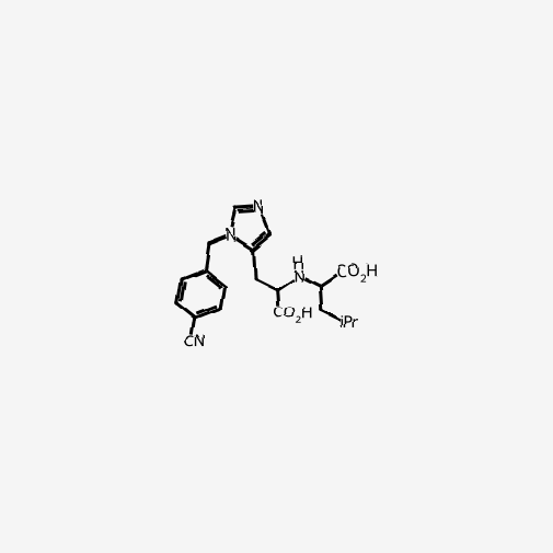 CC(C)CC(NC(Cc1cncn1Cc1ccc(C#N)cc1)C(=O)O)C(=O)O